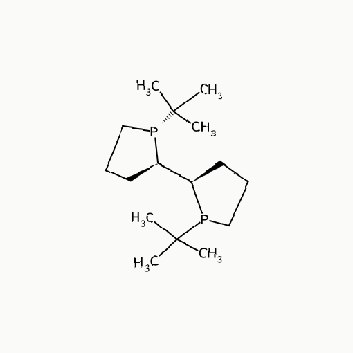 CC(C)(C)P1CCC[C@@H]1[C@H]1CCC[P@]1C(C)(C)C